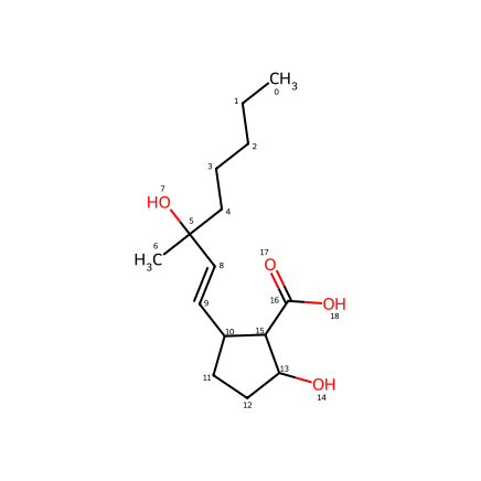 CCCCCC(C)(O)C=CC1CCC(O)C1C(=O)O